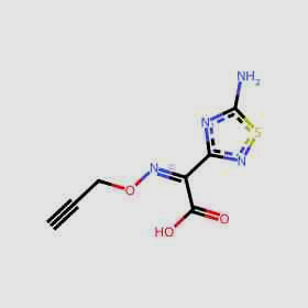 C#CCO/N=C(\C(=O)O)c1nsc(N)n1